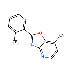 N#Cc1ccnc2nc(-c3ccccc3C(F)(F)F)oc12